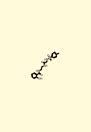 Cc1ccc(S(=O)(=O)NCC(=O)NCCNC(=O)c2ccccc2O)cc1